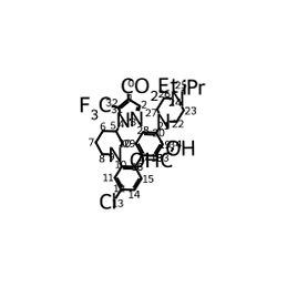 CCOC(=O)c1cnn(C2CCCN(c3cc(Cl)ccc3-c3ccc(N4CCN(C(C)C)CC4)cc3)C2)c1C(F)(F)F.O=CO